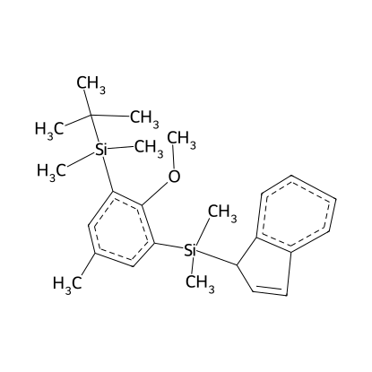 COc1c([Si](C)(C)C2C=Cc3ccccc32)cc(C)cc1[Si](C)(C)C(C)(C)C